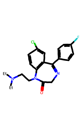 CCN(CC)CCN1C(=O)CN=C(c2ccc(F)cc2)c2cc(Cl)ccc21